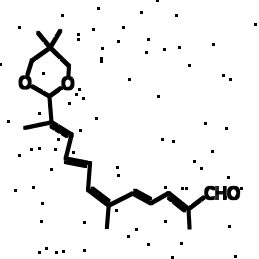 CC(C=O)=CC=CC(C)=CC=CC=C(C)C1OCC(C)(C)CO1